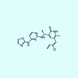 C=C/C(Cl)=C\c1cc([C@H](C)Nc2nccc(Nc3ncco3)n2)c(=O)[nH]c1C